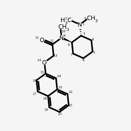 CN(C)[C@@H]1CCCC[C@H]1N(C)C(=O)COc1ccc2ccccc2c1